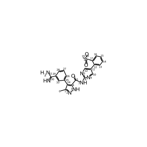 Cc1n[nH]c(C(=O)Nc2ncc(-c3ccccc3S(C)(=O)=O)cn2)c1-c1cccc(C(=N)N)c1